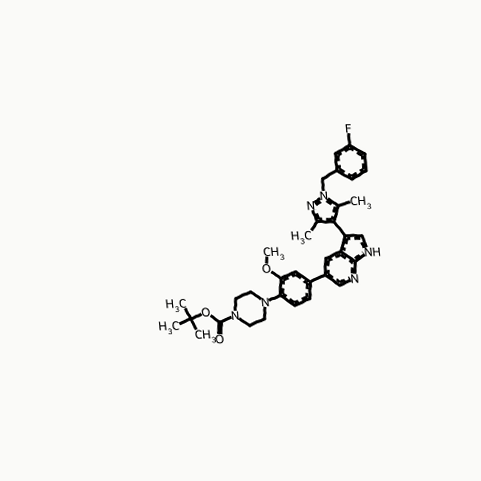 COc1cc(-c2cnc3[nH]cc(-c4c(C)nn(Cc5cccc(F)c5)c4C)c3c2)ccc1N1CCN(C(=O)OC(C)(C)C)CC1